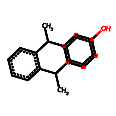 CC12c3ccccc3C(C)(c3ccccc31)c1cc(O)ccc12